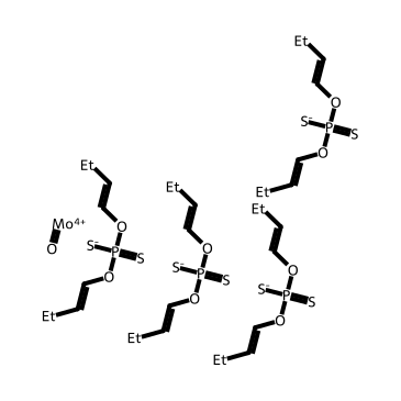 CCC=COP(=S)([S-])OC=CCC.CCC=COP(=S)([S-])OC=CCC.CCC=COP(=S)([S-])OC=CCC.CCC=COP(=S)([S-])OC=CCC.[O]=[Mo+4]